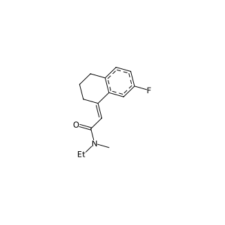 CCN(C)C(=O)C=C1CCCc2ccc(F)cc21